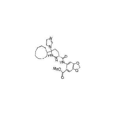 COC(=O)c1cc2c(cc1NC(=O)C1CCC(C3CCCCCCCC3)(n3ccnc3)NN1)OCO2